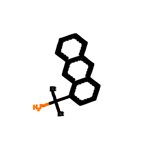 CCC(P)(CC)c1cccc2cc3ccccc3cc12